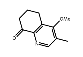 COc1c(C)cnc2c1CCCC2=O